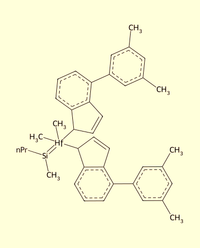 CCC[Si](C)=[Hf]([CH3])([CH3])([CH]1C=Cc2c(-c3cc(C)cc(C)c3)cccc21)[CH]1C=Cc2c(-c3cc(C)cc(C)c3)cccc21